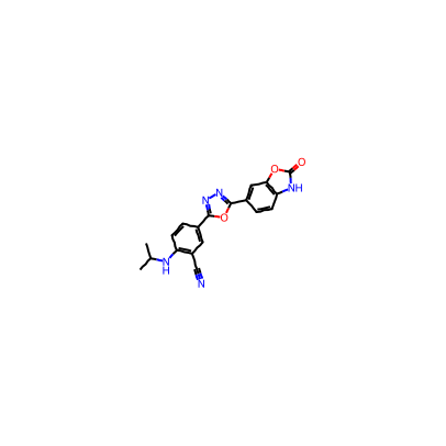 CC(C)Nc1ccc(-c2nnc(-c3ccc4[nH]c(=O)oc4c3)o2)cc1C#N